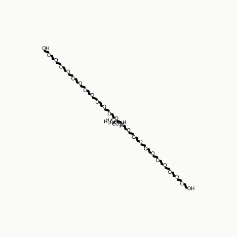 CC(=O)O.CC(=O)O.OCCOCCOCCOCCOCCOCCOCCOCCOCCOCCOCCOCCOCCOCCOCCOCCOCCOCCOCCOCCOCCOCCOCCOCCO